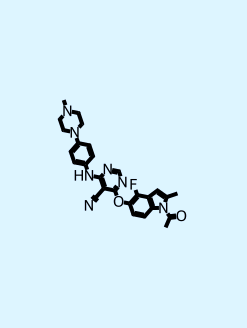 CC(=O)n1c(C)cc2c(F)c(Oc3ncnc(Nc4ccc(N5CCN(C)CC5)cc4)c3C#N)ccc21